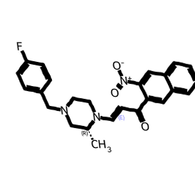 C[C@@H]1CN(Cc2ccc(F)cc2)CCN1/C=C/C(=O)c1cc2ccccc2cc1[N+](=O)[O-]